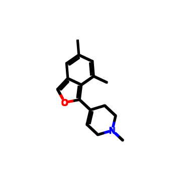 Cc1cc(C)c2c(C3=CCN(C)CC3)occ2c1